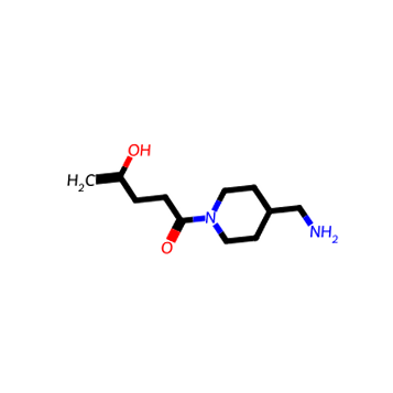 C=C(O)CCC(=O)N1CCC(CN)CC1